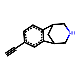 C#Cc1ccc2c(c1)C1CNCC2C1